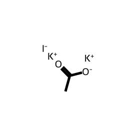 CC(=O)[O-].[I-].[K+].[K+]